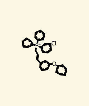 C(=C\c1cccc(Oc2ccccc2)c1)/C[P+](c1ccccc1)(c1ccccc1)c1ccccc1.[Cl-]